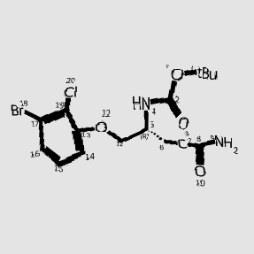 CC(C)(C)OC(=O)N[C@H](CCC(N)=O)COc1cccc(Br)c1Cl